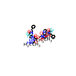 CN[C@@H](C)C(=O)N[C@H](C(=O)N1CCC[C@H]1CN(CCc1ccccc1)C(=O)C(F)(F)F)[C@@H](C)OCCN(C(=O)[C@H](C)NC)[C@H](C(=O)N1CCC[C@H]1CN(CCc1ccccc1)C(=O)C(F)(F)F)[C@@H](C)O